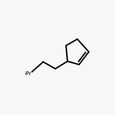 CC(C)CC[C]1C=CCC1